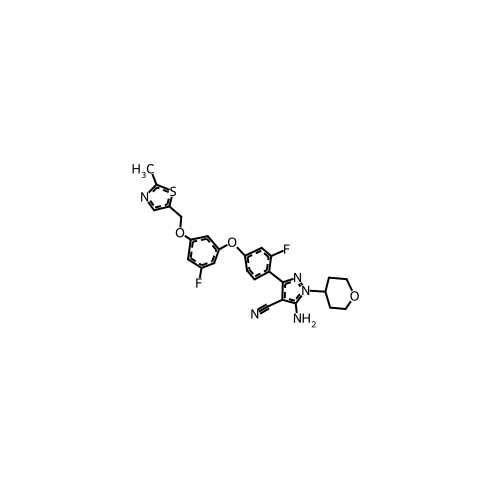 Cc1ncc(COc2cc(F)cc(Oc3ccc(-c4nn(C5CCOCC5)c(N)c4C#N)c(F)c3)c2)s1